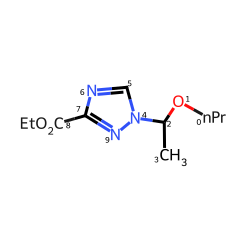 CCCOC(C)n1cnc(C(=O)OCC)n1